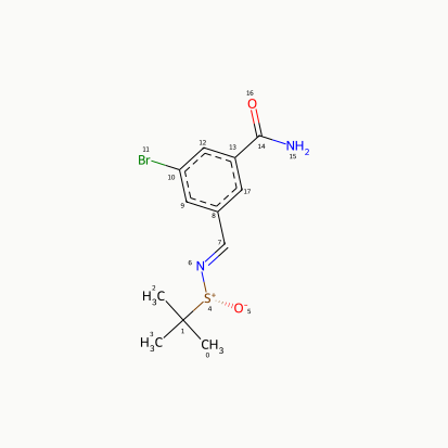 CC(C)(C)[S@@+]([O-])N=Cc1cc(Br)cc(C(N)=O)c1